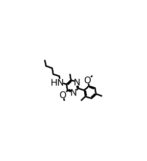 CCCCCNc1c(C)nc(-c2c(C)cc(C)cc2OC)nc1OC